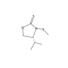 CSN1C(=S)OC[C@H]1C(C)C